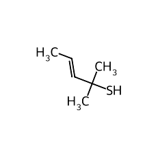 CC=CC(C)(C)S